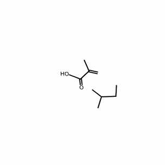 C=C(C)C(=O)O.CCC(C)C